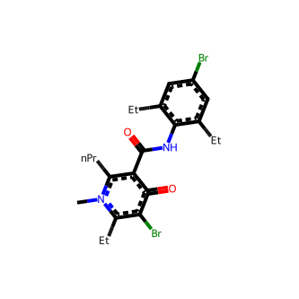 CCCc1c(C(=O)Nc2c(CC)cc(Br)cc2CC)c(=O)c(Br)c(CC)n1C